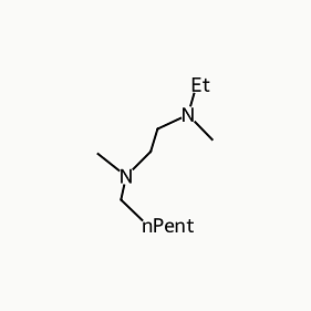 CCCCCCN(C)CCN(C)CC